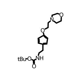 CC(C)(C)OC(=O)NCCc1ccc(OCCN2CCOCC2)cc1